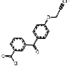 C#CCOc1ccc(C(=O)c2cccc(C(=O)Cl)c2)cc1